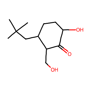 CC(C)(C)CC1CCC(O)C(=O)C1CO